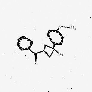 COc1ccc(C2(O)CN(C(=O)c3ccccc3)C2)cc1